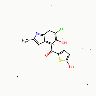 CC1=[C]C2=C(C(=O)c3ccc(O)s3)C(O)=C(Cl)CC2=N1